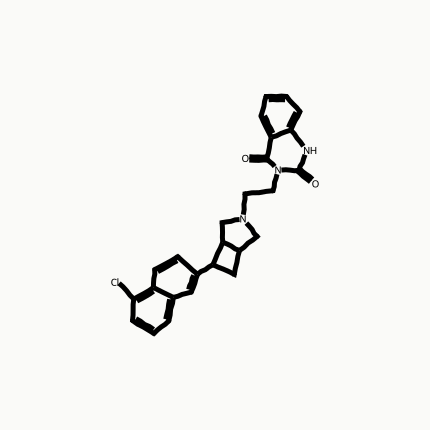 O=c1[nH]c2ccccc2c(=O)n1CCN1CC2CC(c3ccc4c(Cl)cccc4c3)C2C1